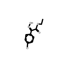 CCOC(=O)C(=NO)c1ccc(Cl)cc1